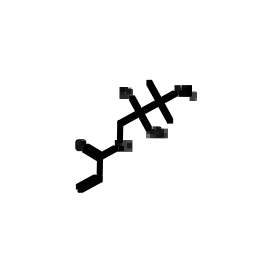 C=CC(=O)NCC(CC)(CCCC)C(C)(C)N